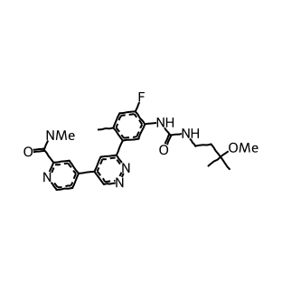 CNC(=O)c1cc(-c2cnnc(-c3cc(NC(=O)NCCC(C)(C)OC)c(F)cc3C)c2)ccn1